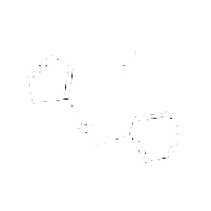 C1=CC[C]([Zr+2][O]c2ccccc2)=C1.[Cl-].[Cl-]